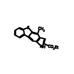 CCOC(=O)c1cc2c(C)c3sc4ccccc4c3cc2[nH]1